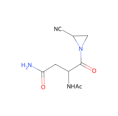 CC(=O)NC(CC(N)=O)C(=O)N1CC1C#N